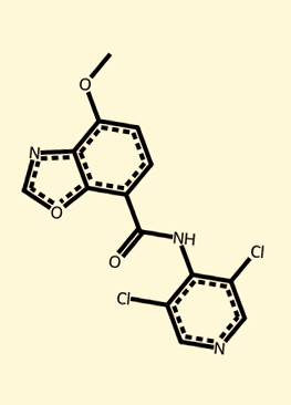 COc1ccc(C(=O)Nc2c(Cl)cncc2Cl)c2ocnc12